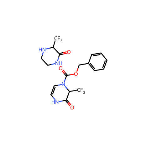 O=C1NC=CN(C(=O)OCc2ccccc2)C1C(F)(F)F.O=C1NCCNC1C(F)(F)F